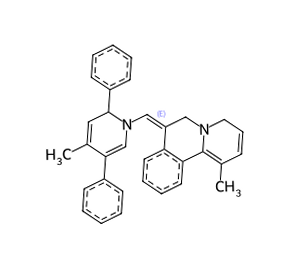 CC1=CC(c2ccccc2)N(/C=C2/CN3CC=CC(C)=C3c3ccccc32)C=C1c1ccccc1